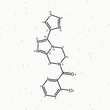 O=C(c1ccccc1Cl)N1CCn2c(nnc2-c2cscn2)C1